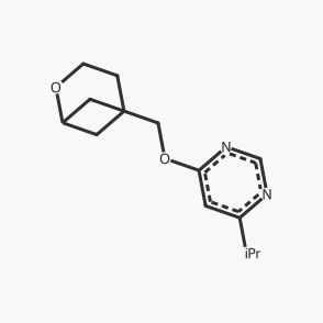 CC(C)c1cc(OCC23CCOC(C2)C3)ncn1